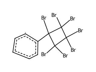 BrC1(Br)C(Br)(Br)C(Br)(c2[c]cccc2)C1(Br)Br